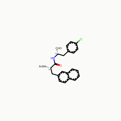 CC(=O)N[C@@H](Cc1ccc2ccccc2c1)C(=O)N[C@H]([C]=O)Cc1ccc(Cl)cc1